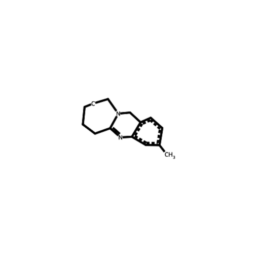 Cc1ccc2c(c1)N=C1CCCCCN1C2